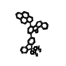 CC1(C)c2ccccc2-c2cc(-c3ccc(-c4ccc5ccc6cccc7ccc4c5c67)c4c3oc3c5ccccc5ccc34)ccc21